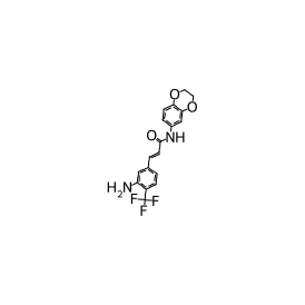 Nc1cc(/C=C/C(=O)Nc2ccc3c(c2)OCCO3)ccc1C(F)(F)F